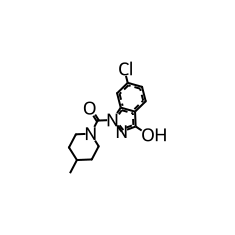 CC1CCN(C(=O)n2nc(O)c3ccc(Cl)cc32)CC1